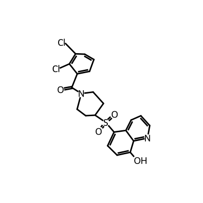 O=C(c1cccc(Cl)c1Cl)N1CCC(S(=O)(=O)c2ccc(O)c3ncccc23)CC1